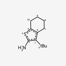 CC(C)(C)c1c(N)sc2c1CCCC2